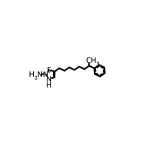 CC(CCCCCCC1=CNN(N)S1)c1ccccc1